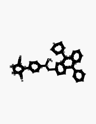 CN(Cc1ccc2c(-c3ccccc3)c3ccccc3c(-c3ccccc3)c2c1)c1ccc(-n2c(=O)[nH][nH]c2=O)cc1